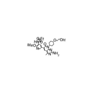 CCS(=O)(=O)Nc1cc(-c2cc3c(C)nc(N)nc3n(C3CCC(OCCO)CC3)c2=O)cnc1OC